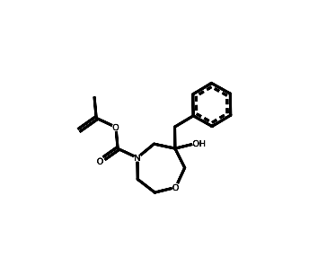 C=C(C)OC(=O)N1CCOCC(O)(Cc2ccccc2)C1